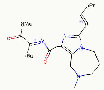 CCC/C=C/c1nc(C(=O)/N=C(/C(=O)NC)C(C)(C)C)c2n1CCCN(C)C2